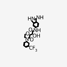 N=C1NCc2cc(NC(=O)[C@H](O)[C@H]3OCCN(C4C=CC=C(C(F)(F)F)C4)C3=O)ccc21